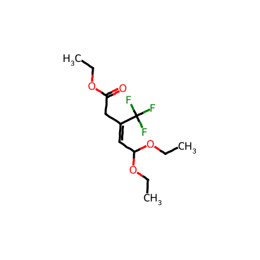 CCOC(=O)CC(=CC(OCC)OCC)C(F)(F)F